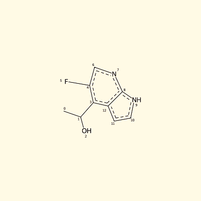 CC(O)c1c(F)cnc2[nH]ccc12